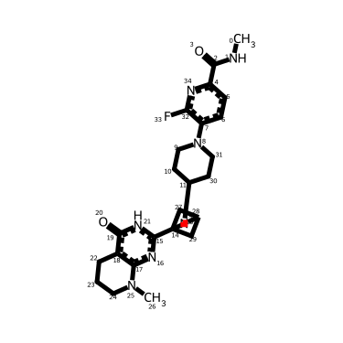 CNC(=O)c1ccc(N2CCC(N3CC4(c5nc6c(c(=O)[nH]5)CCCN6C)CC3C4)CC2)c(F)n1